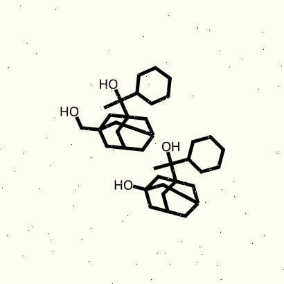 CC(O)(C1CCCCC1)C12CC3CC(CC(CO)(C3)C1)C2.CC(O)(C1CCCCC1)C12CC3CC(CC(O)(C3)C1)C2